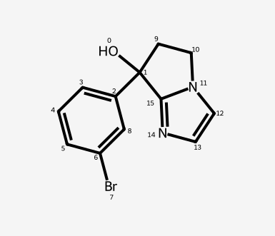 OC1(c2cccc(Br)c2)CCn2ccnc21